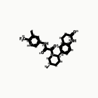 Cc1cc(NC(=O)C(=O)N2C[C@@H](C)CC[C@@H]2c2ccc3c(c2)CCC(=O)N3)cnc1C(F)(F)F